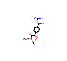 CCOC(C(=O)N(C)OC)c1ccc(C(=N)OC(C)=N)cc1